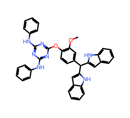 COc1cc(C(c2cc3ccccc3[nH]2)c2cc3ccccc3[nH]2)ccc1Oc1nc(Nc2ccccc2)nc(Nc2ccccc2)n1